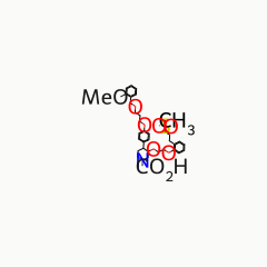 COc1ccccc1COCCCOc1ccc(C2CCN(C(=O)O)CC2OCCOc2ccccc2CCCS(C)(=O)=O)cc1